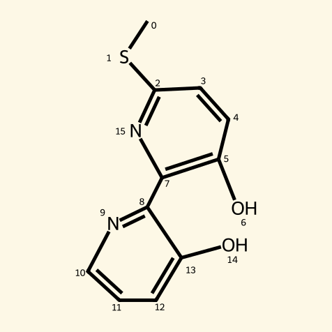 CSc1ccc(O)c(-c2ncccc2O)n1